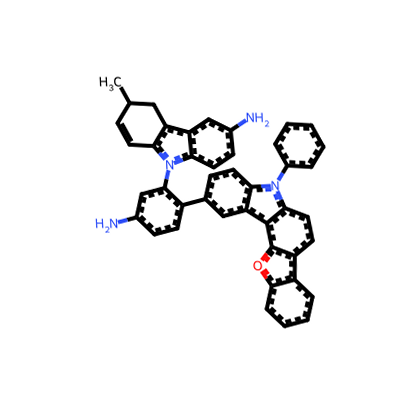 CC1C=Cc2c(c3cc(N)ccc3n2-c2cc(N)ccc2-c2ccc3c(c2)c2c4oc5ccccc5c4ccc2n3-c2ccccc2)C1